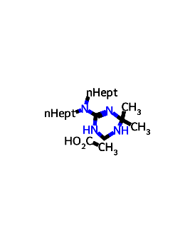 CC(=O)O.CCCCCCCN(CCCCCCC)C1=NC(C)(C)NCN1